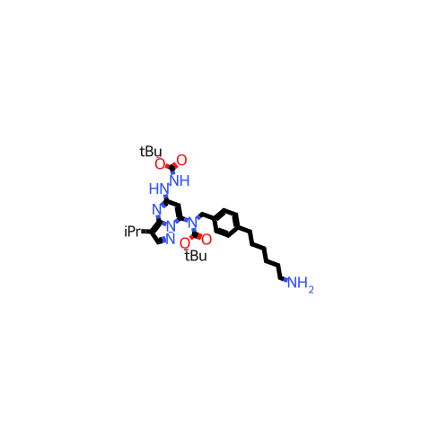 CC(C)c1cnn2c(N(Cc3ccc(CCCCCCN)cc3)C(=O)OC(C)(C)C)cc(NNC(=O)OC(C)(C)C)nc12